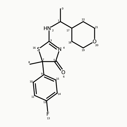 CC(NC1=NC(=O)C(C)(c2ccc(F)cc2)S1)C1CCOCC1